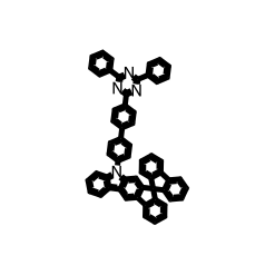 c1ccc(-c2nc(-c3ccccc3)nc(-c3ccc(-c4ccc(-n5c6ccccc6c6cc7c(cc65)C5(c6ccccc6-c6ccccc65)c5ccccc5-7)cc4)cc3)n2)cc1